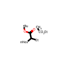 CCCCCCC(CC)C(=O)OC(C)(C)C.CCOC(C)=O